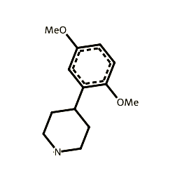 COc1ccc(OC)c(C2CC[N]CC2)c1